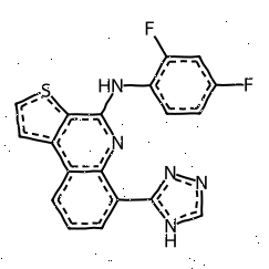 Fc1ccc(Nc2nc3c(-c4nnc[nH]4)cccc3c3ccsc23)c(F)c1